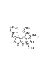 CCCCOc1nc(N)c2c(n1)N(Cc1ccc(CN3CCOCC3)cc1)C(C=O)N2